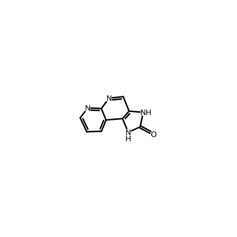 O=c1[nH]c2cnc3ncccc3c2[nH]1